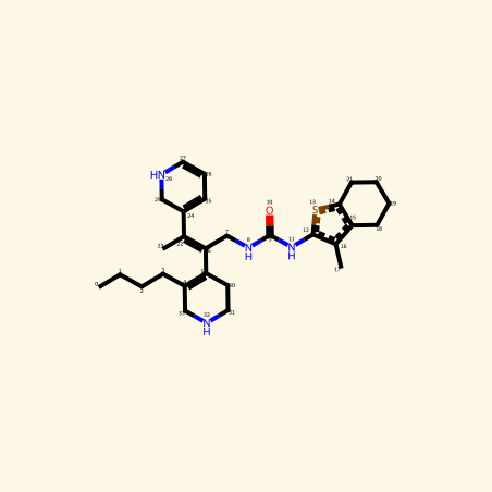 CCCCC1=C(/C(CNC(=O)Nc2sc3c(c2C)CCCC3)=C(\C)C2=CC=CNC2)CCNC1